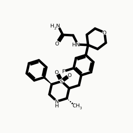 C[C@@H]1NC[C@@H](c2ccccc2)S(=O)(=O)C1Cc1ccc(C2(NCC(N)=O)CCOCC2)cc1F